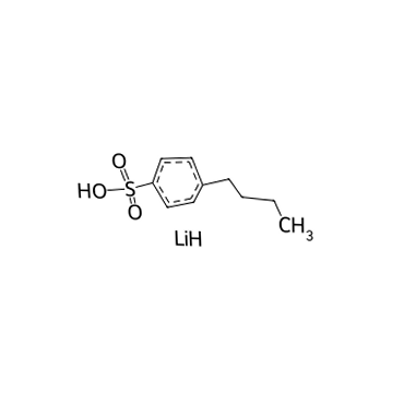 CCCCc1ccc(S(=O)(=O)O)cc1.[LiH]